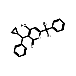 CCC(CC)(c1ccccc1)c1cc(O)c(C(c2ccccc2)C2CC2)c(=O)o1